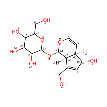 OCC1=C[C@@H](O)[C@@H]2C=CO[C@@H](OC3OC(CO)C(O)C(O)C3O)[C@H]12